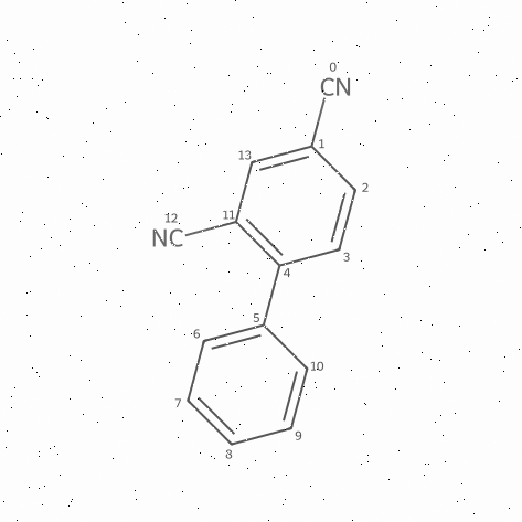 N#Cc1ccc(-c2ccccc2)c(C#N)c1